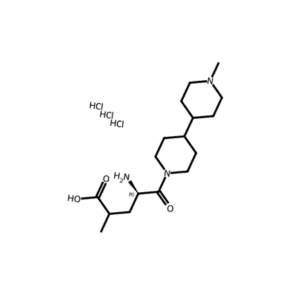 CC(C[C@@H](N)C(=O)N1CCC(C2CCN(C)CC2)CC1)C(=O)O.Cl.Cl.Cl